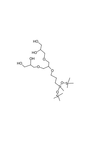 C[Si](C)(C)O[Si](C)(CCCOC(COCC(O)CO)COCC(O)CO)O[Si](C)(C)C